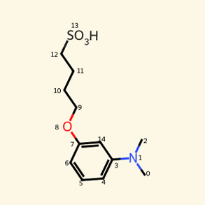 CN(C)c1cccc(OCCCCS(=O)(=O)O)c1